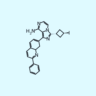 Nc1nccn2c1c(C1=CC=C3C=CC(c4ccccc4)=NC3C1)nc2[C@H]1C[C@H](I)C1